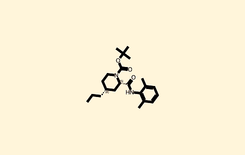 CCC[C@@H]1CCN(C(=O)OC(C)(C)C)[C@H](C(=O)Nc2c(C)cccc2C)C1